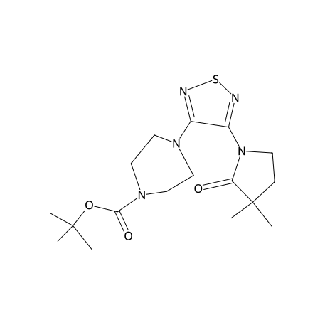 CC(C)(C)OC(=O)N1CCN(c2nsnc2N2CCC(C)(C)C2=O)CC1